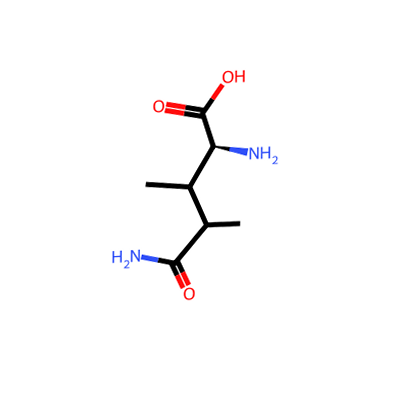 CC(C(N)=O)C(C)[C@H](N)C(=O)O